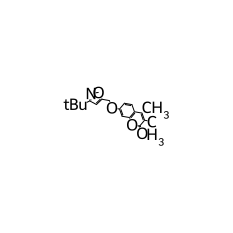 Cc1c(C)c2ccc(OCc3cc(C(C)(C)C)no3)cc2oc1=O